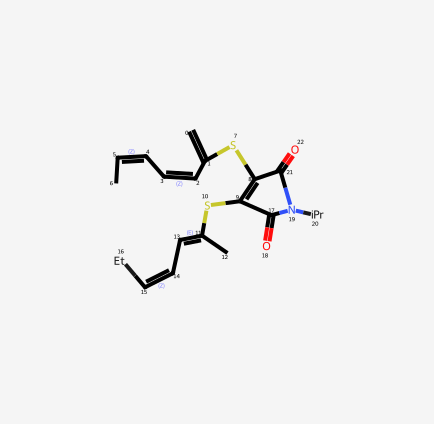 C=C(/C=C\C=C/C)SC1=C(S/C(C)=C/C=C\CC)C(=O)N(C(C)C)C1=O